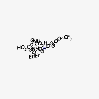 CCC(C)(CC)c1ccc(NC(=O)C2C(C(=O)O)CC(C(N)=O)C2CC(=O)O)c(CCOC(=O)/C=C/c2ccc(OC(=O)c3ccc(OCCCC(F)(F)F)cc3)cc2)c1